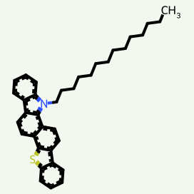 CCCCCCCCCCCCCCn1c2ccccc2c2ccc3c(ccc4c5ccccc5sc43)c21